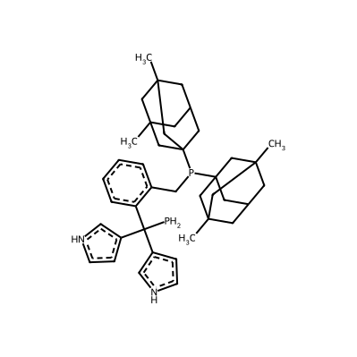 CC12CC3CC(C)(C1)CC(P(Cc1ccccc1C(P)(c1cc[nH]c1)c1cc[nH]c1)C14CC5CC(C)(CC(C)(C5)C1)C4)(C3)C2